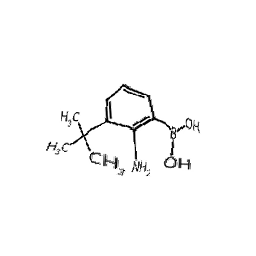 CC(C)(C)c1cccc(B(O)O)c1N